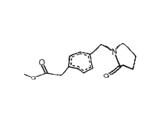 COC(=O)Cc1ccc(CN2CCCC2=O)cc1